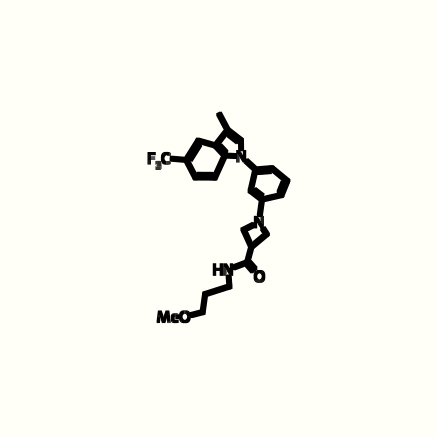 COCCCNC(=O)C1CN(c2cccc(-n3cc(C)c4cc(C(F)(F)F)ccc43)c2)C1